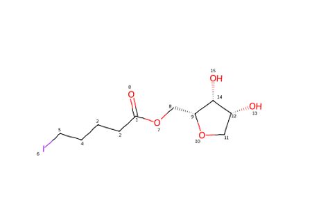 O=C(CCCCI)OC[C@H]1OC[C@@H](O)[C@H]1O